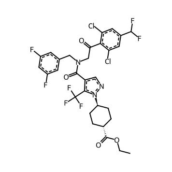 CCOC(=O)[C@H]1CC[C@H](n2ncc(C(=O)N(CC(=O)c3c(Cl)cc(C(F)F)cc3Cl)Cc3cc(F)cc(F)c3)c2C(F)(F)F)CC1